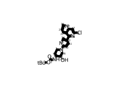 CC(C)(C)OC(=O)N[C@H]1CCN(c2ccc(-c3nc(Cl)cc4ncccc34)cn2)C[C@@H]1O